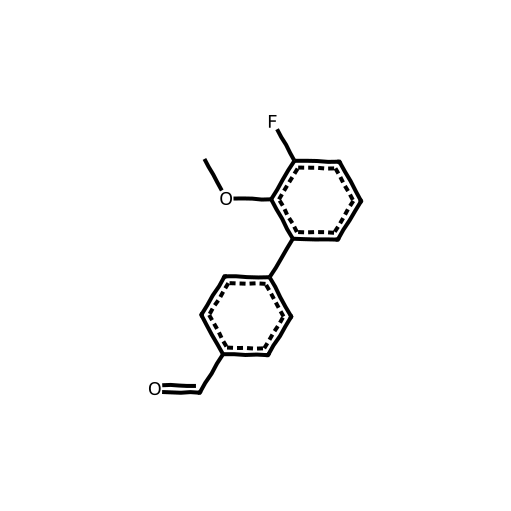 COc1c(F)cccc1-c1ccc(C=O)cc1